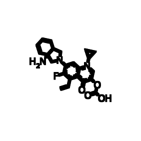 C=Cc1c(F)c(N2CC3C=CC=CC3(N)C2)cc2c1c(=O)c(OC(=O)O)cn2C1CC1